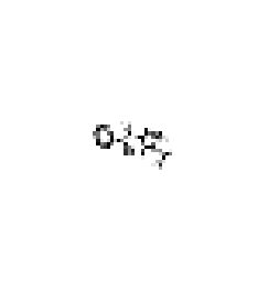 CCN(C(=O)C1=CNN(C(C)C(C)C)C1C)c1ccnnc1